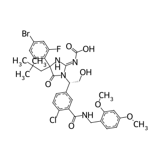 COc1ccc(CNC(=O)c2cc([C@@H](CO)N3C(=O)C(CC(C)(C)C)(c4ccc(Br)cc4F)NC3=NC(=O)O)ccc2Cl)c(OC)c1